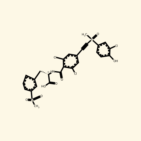 CP(=O)(C#Cc1cc(Cl)c(C(=O)N[C@@H](Cc2cccc(S(C)(=O)=O)c2)C(=O)O)c(Cl)c1)c1ccc(O)c(Cl)c1